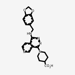 O=C(O)C1CCN(c2nnc(NCc3ccc4c(c3)OCO4)c3ccncc23)CC1